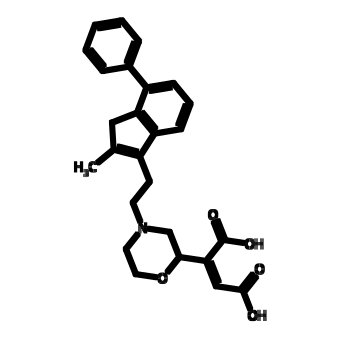 CC1=C(CCN2CCOC(C(=CC(=O)O)C(=O)O)C2)c2cccc(-c3ccccc3)c2C1